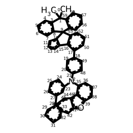 CC1(C)c2ccccc2C2(c3ccccc3-c3c(-c4ccc(N(c5cccc(-c6ccccc6)c5)c5cccc6oc7ccccc7c56)cc4)cccc32)c2ccccc21